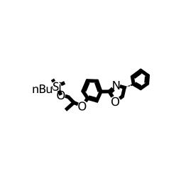 CCCC[Si](C)(C)OCC(C)Oc1cccc(C2=N[C@H](c3ccccc3)CO2)c1